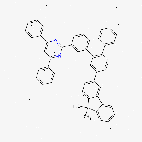 CC1(C)c2ccccc2-c2cc(-c3ccc(-c4ccccc4)c(-c4cccc(-c5nc(-c6ccccc6)cc(-c6ccccc6)n5)c4)c3)ccc21